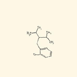 CC(C)C(Cc1ccccc1Cl)C(C)C